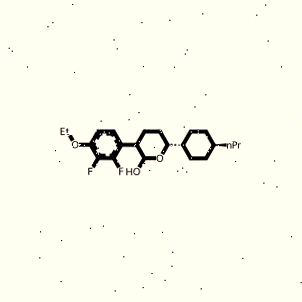 CCC[C@H]1CC[C@H](C2CCC(c3ccc(OCC)c(F)c3F)C(O)O2)CC1